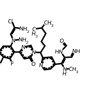 CN/C(=C(\C=N)NC=O)c1ccnc(C(CCCC(C)C)n2cnc(-c3c(N(N)/C=C(\N)Cl)ccc(Cl)c3F)cc2=O)c1